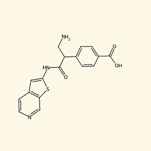 NCC(C(=O)Nc1cc2ccncc2s1)c1ccc(C(=O)O)cc1